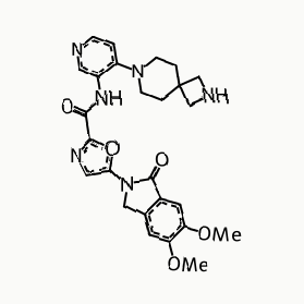 COc1cc2c(cc1OC)C(=O)N(c1cnc(C(=O)Nc3cnccc3N3CCC4(CC3)CNC4)o1)C2